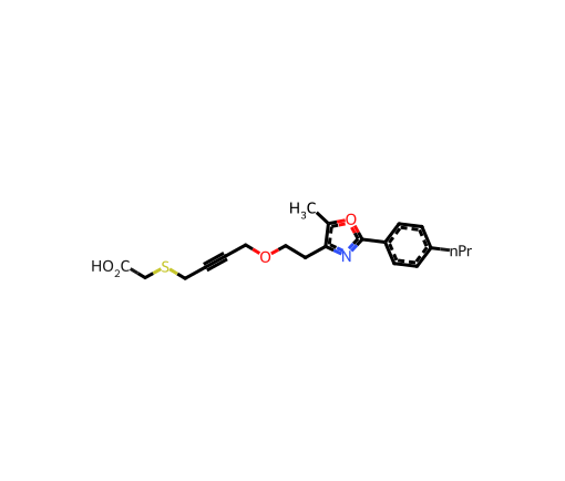 CCCc1ccc(-c2nc(CCOCC#CCSCC(=O)O)c(C)o2)cc1